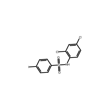 O=S(=O)(Nc1ccc(Cl)cc1Cl)c1ccc(I)cc1